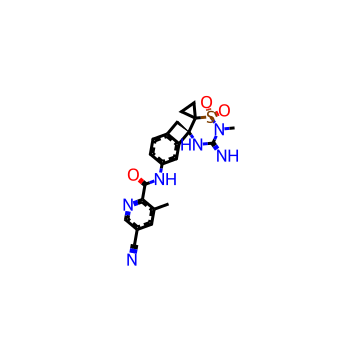 Cc1cc(C#N)cnc1C(=O)Nc1ccc2c(c1)[C@@]1(C2)NC(=N)N(C)S(=O)(=O)C12CC2